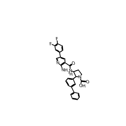 Nc1ncc(-c2ccc(F)c(F)c2)cc1C(=O)NC1CCN(C(=O)O)C1c1cccc(-c2ccccc2)c1